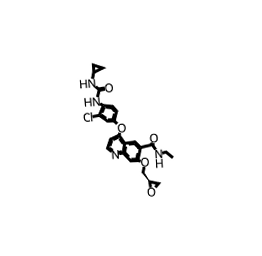 CCNC(=O)c1cc2c(Oc3ccc(NC(=O)NC4CC4)c(Cl)c3)ccnc2cc1OC[C@H]1CO1